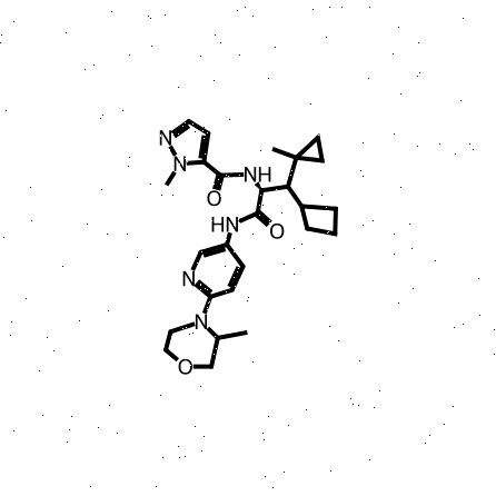 CC1COCCN1c1ccc(NC(=O)[C@@H](NC(=O)c2ccnn2C)C(C2CCC2)C2(C)CC2)cn1